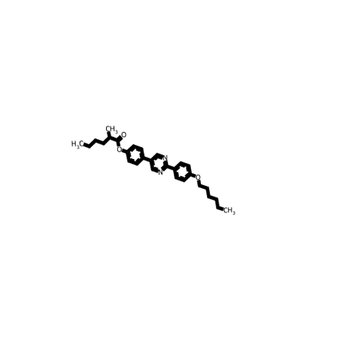 CCCCCCOc1ccc(-c2ncc(-c3ccc(OC(=O)C(C)CCCC)cc3)cn2)cc1